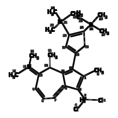 CC1=[C]([Hf]([Cl])[Cl])C2=CC=CC(=[Si](C)C)C(C)C2=C1C1=CC([Si](C)(C)C)=C([Si](C)(C)C)C1